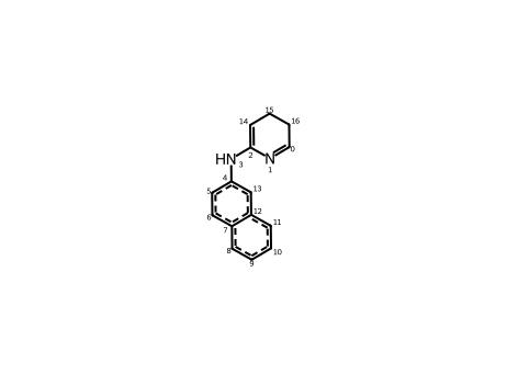 C1=NC(Nc2ccc3ccccc3c2)=CCC1